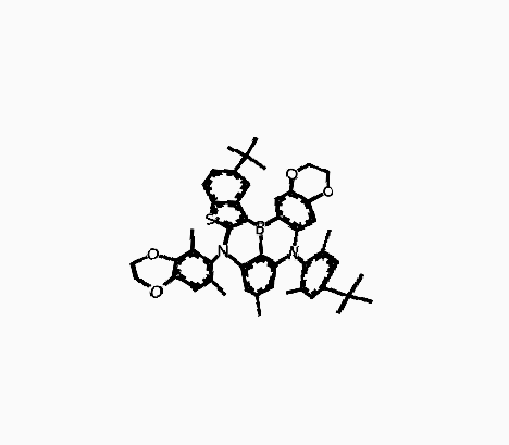 Cc1cc2c3c(c1)N(c1c(C)cc4c(c1C)OCCO4)c1sc4ccc(C(C)(C)C)cc4c1B3c1cc3c(cc1N2c1c(C)cc(C(C)(C)C)cc1C)OCCO3